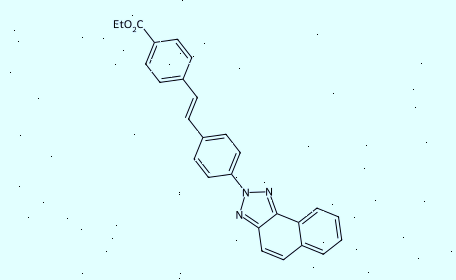 CCOC(=O)c1ccc(C=Cc2ccc(-n3nc4ccc5ccccc5c4n3)cc2)cc1